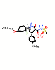 CCCCCCOc1ccc([C@]2(C)CC(c3ccc(OC)cc3)=C(C(=O)NS(C)(=O)=O)C(=O)N2)c(F)c1